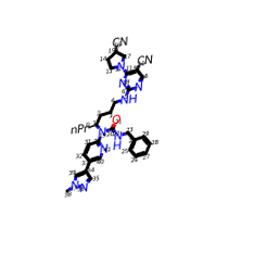 CCC[C@@H](CCCNc1ncc(C#N)c(N2CCC(C#N)C2)n1)N(C(=O)NCc1ccccc1)c1ccc(-c2cnn(C)c2)cn1